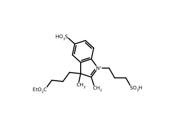 CCOC(=O)CCCC1(C)C(C)=[N+](CCCS(=O)(=O)O)c2ccc(S(=O)(=O)O)cc21